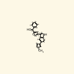 Cn1cc(-c2cnc3[nH]cc(-c4noc(C(O)c5ccccc5)n4)c3c2)cn1